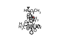 CCC[C@@H](C(=O)C(=O)NC1CC1)N1CC[C@H]2CN(C(=O)[C@@H](NC(=O)[C@@H](NC(=O)c3cnccn3)C3CCCCC3)C(C)(C)C)[C@H](C1=O)[C@H]2C